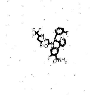 NC(=O)c1cc(-c2cccnc2[C@H](Cc2cccc(F)c2)NC(=O)CN2N=C(C(F)(F)F)CC2Br)ccc1F